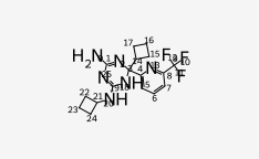 NC1=NC(c2cccc(C(F)(F)F)n2)(C2CCC2)NC(NC2CCC2)=N1